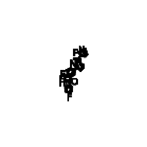 O=C(Nc1ccc(F)cc1)c1cc(-c2cccn3c(-c4cccnc4F)cnc23)ccc1C(F)(F)F